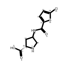 O=C(NC1CN[C@H](C(=O)O)C1)c1ccc(Cl)s1